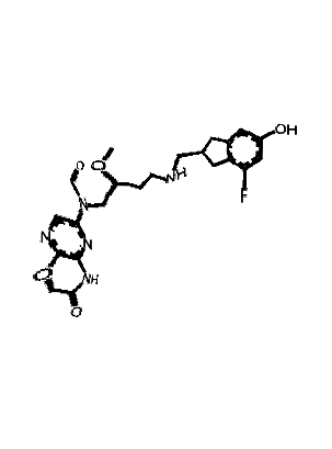 COC(CCNCC1Cc2cc(O)cc(F)c2C1)CN(C=O)c1cnc2c(n1)NC(=O)CO2